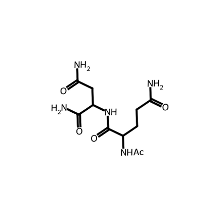 CC(=O)NC(CCC(N)=O)C(=O)NC(CC(N)=O)C(N)=O